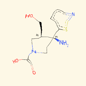 N[C@@]1(c2ccns2)CN(C(=O)O)C[C@H]1CO